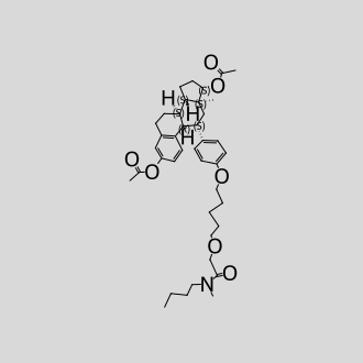 CCCCN(C)C(=O)COCCCCCOc1ccc([C@H]2C[C@]3(C)[C@@H](OC(C)=O)CC[C@H]3[C@@H]3CCc4cc(OC(C)=O)ccc4[C@H]32)cc1